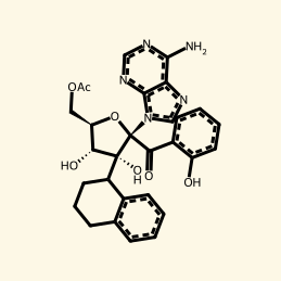 CC(=O)OC[C@H]1O[C@@](C(=O)c2ccccc2O)(n2cnc3c(N)ncnc32)[C@@](O)(C2CCCc3ccccc32)[C@@H]1O